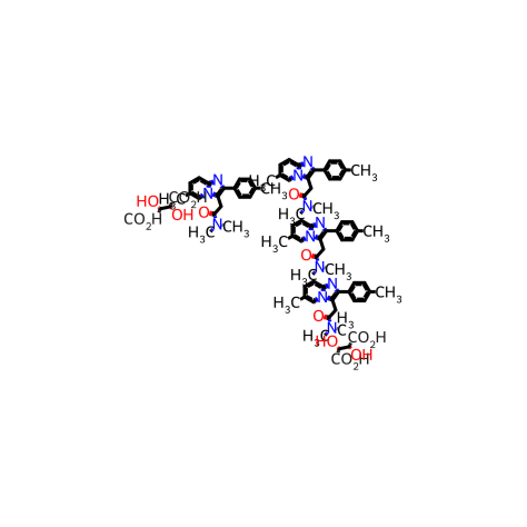 Cc1ccc(-c2nc3ccc(C)cn3c2CC(=O)N(C)C)cc1.Cc1ccc(-c2nc3ccc(C)cn3c2CC(=O)N(C)C)cc1.Cc1ccc(-c2nc3ccc(C)cn3c2CC(=O)N(C)C)cc1.Cc1ccc(-c2nc3ccc(C)cn3c2CC(=O)N(C)C)cc1.O=C(O)C(O)C(O)C(=O)O.O=C(O)C(O)C(O)C(=O)O